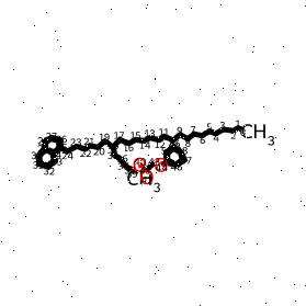 CCCCCCCCCCCCCCCCCCC(CCCCCCc1cccc2ccccc12)CCCC(C)OC(=O)COc1ccccc1